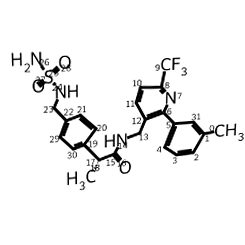 Cc1cccc(-c2nc(C(F)(F)F)ccc2CNC(=O)[C@H](C)c2ccc(CNS(N)(=O)=O)cc2)c1